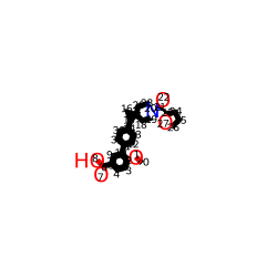 COc1ccc(C(=O)O)cc1-c1ccc(C2CC23CCN(C(=O)[C@H]2CCCO2)CC3)cc1